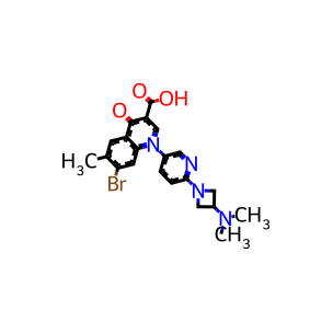 Cc1cc2c(=O)c(C(=O)O)cn(-c3ccc(N4CC(N(C)C)C4)nc3)c2cc1Br